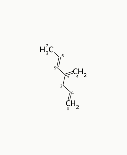 C=CCC(=C)/C=C/C